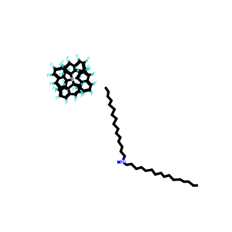 CCCCCCCCCCCCCCCC[NH+](C)CCCCCCCCCCCCCCCC.Fc1c(F)c(F)c2c([B-](c3c(F)c(F)c(F)c4c(F)c(F)c(F)c(F)c34)(c3c(F)c(F)c(F)c4c(F)c(F)c(F)c(F)c34)c3c(F)c(F)c(F)c4c(F)c(F)c(F)c(F)c34)c(F)c(F)c(F)c2c1F